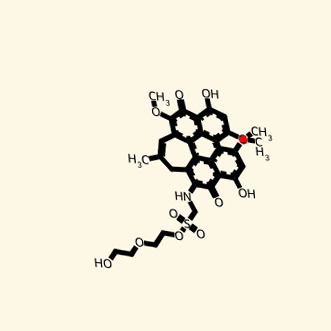 COc1c2c3c4c(c(NCS(=O)(=O)OCCOCCO)c(=O)c5c(O)cc(OC)c(c6c(OC)cc(O)c(c1=O)c63)c54)CC(C)=C2